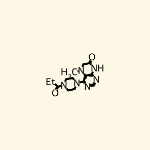 [CH2]CC(=O)N1CCN(c2ncnc3c2N(C)CC(=O)N3)CC1